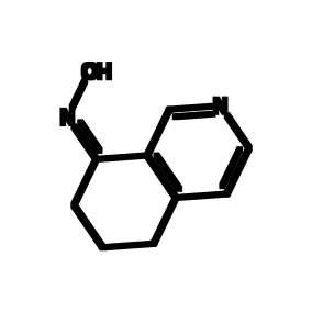 O/N=C1/CCCc2ccncc21